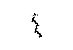 CC(=O)NCC=C(C)CCCC(C)CCCC(C)CCCC(C)C